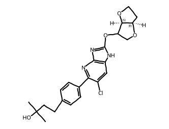 CC(C)(O)CCc1ccc(-c2nc3nc(OC4CO[C@@H]5CCO[C@H]45)[nH]c3cc2Cl)cc1